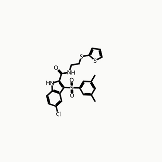 Cc1cc(C)cc(S(=O)(=O)c2c(C(=O)NCCSc3cccs3)[nH]c3ccc(Cl)cc23)c1